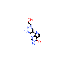 N=C/C(=C\NCCO)c1nccc2c(=O)[nH]cnc12